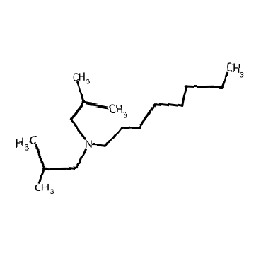 CCCCCCCCN(CC(C)C)CC(C)C